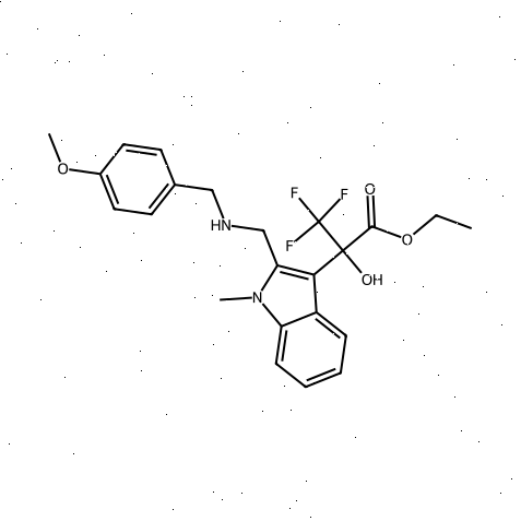 CCOC(=O)C(O)(c1c(CNCc2ccc(OC)cc2)n(C)c2ccccc12)C(F)(F)F